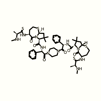 CN[C@@H](C)C(=S)N[C@H]1CCS[C@H]2CC(C)(C)[C@@H](C(=O)N[C@H](C(=O)N3CCN(C(=O)[C@@H](NC(=O)[C@H]4N5C(=O)[C@@H](NC(=S)[C@H](C)NC)CCS[C@H]5CC4(C)C)c4ccccc4)CC3)c3ccccc3)N2C1=O